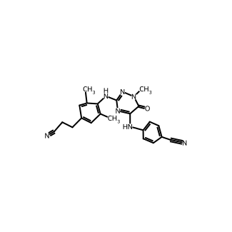 Cc1cc(CCC#N)cc(C)c1Nc1nc(Nc2ccc(C#N)cc2)c(=O)n(C)n1